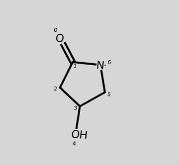 O=C1CC(O)C[N]1